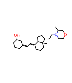 CC1COCCN1CC[C@H]1CCC2/C(=C/C=C3/CCC[C@H](O)C3)CCCC21C